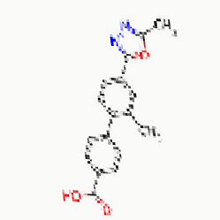 Cc1nnc(-c2ccc(-c3ccc(C(=O)O)cc3)c(C)c2)o1